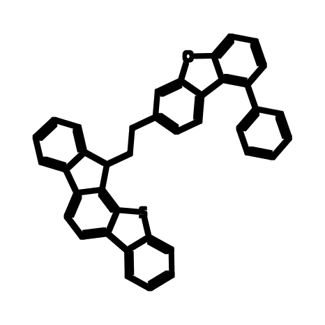 c1ccc(-c2cccc3oc4cc(CCC5c6ccccc6-c6ccc7c(sc8ccccc87)c65)ccc4c23)cc1